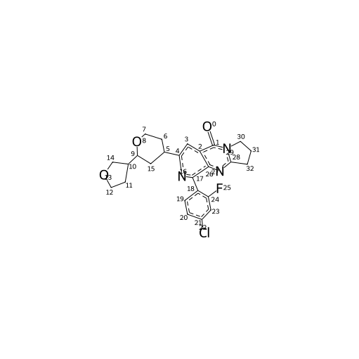 O=c1c2cc(C3CCOC(C4CCOC4)C3)nc(-c3ccc(Cl)cc3F)c2nc2n1CCC2